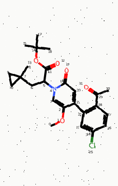 COc1cn(C(CC2(C)CC2)C(=O)OC(C)(C)C)c(=O)cc1-c1cc(Cl)ccc1C(C)=O